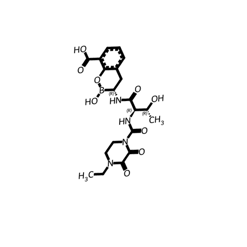 CCN1CCN(C(=O)N[C@@H](C(=O)N[C@H]2Cc3cccc(C(=O)O)c3OB2O)[C@@H](C)O)C(=O)C1=O